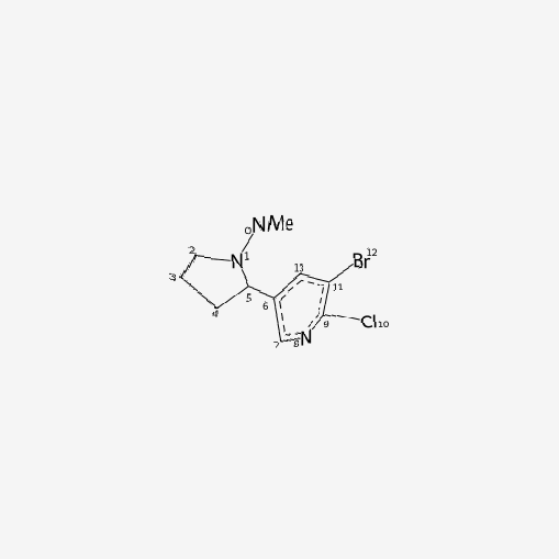 CNN1CCCC1c1cnc(Cl)c(Br)c1